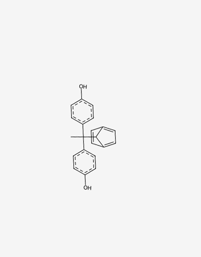 CC(c1ccc(O)cc1)(c1ccc(O)cc1)C1C2=CC=C1C=C2